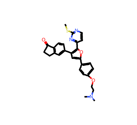 CSc1nccc(-c2oc(-c3ccc(OCCN(C)C)cc3)cc2-c2ccc3c(c2)CCC3=O)n1